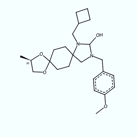 COc1ccc(CN2CC3(CCC4(CC3)OC[C@@H](C)O4)N(CC3CCC3)C2O)cc1